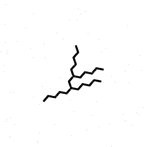 CCCCCN(CCCCC)CN(CCCCC)CCCCC